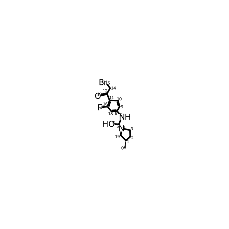 C[C@@H]1CCN(C(O)Nc2ccc(C(=O)CBr)c(F)c2)C1